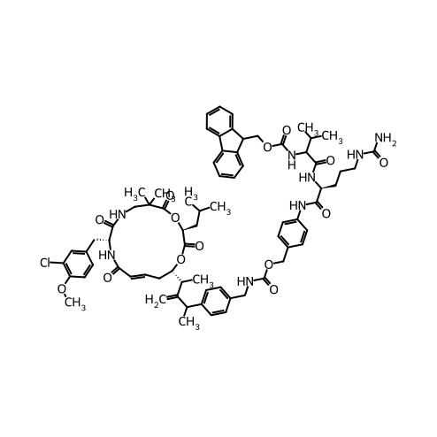 C=C(C(C)c1ccc(CNC(=O)OCc2ccc(NC(=O)[C@H](CCCNC(N)=O)NC(=O)C(NC(=O)OCC3c4ccccc4-c4ccccc43)C(C)C)cc2)cc1)C(C)[C@@H]1C/C=C/C(=O)N[C@H](Cc2ccc(OC)c(Cl)c2)C(=O)NCC(C)(C)C(=O)O[C@@H](CC(C)C)C(=O)O1